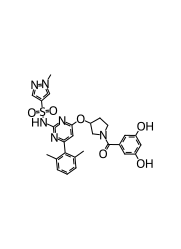 Cc1cccc(C)c1-c1cc(OC2CCN(C(=O)c3cc(O)cc(O)c3)C2)nc(NS(=O)(=O)c2cnn(C)c2)n1